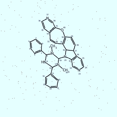 CN1C(c2ccccc2)NC(c2ccccc2)N(C)C1N1c2cnccc2C2C=CC3=C(C=Cc4ccncc4O3)C21